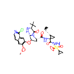 C=C[C@@H]1C[C@]1(NC(=O)[C@@H]1C[C@@H](Oc2cc3c(Cl)nccc3cc2OC)CN1C(=O)[C@@H](N)C(C)(C)C)C(=O)NS(=O)(=O)C1CC1